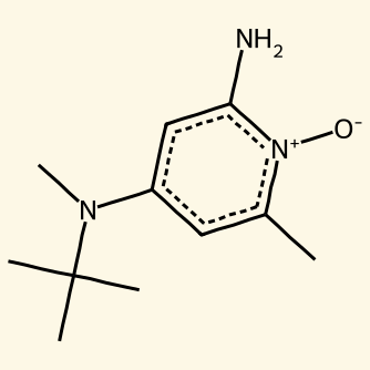 Cc1cc(N(C)C(C)(C)C)cc(N)[n+]1[O-]